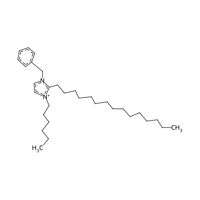 CCCCCCCCCCCCCCCc1n(Cc2ccccc2)cc[n+]1CCCCCC